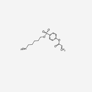 C=CC(=O)Oc1ccc(S(=O)(=O)OCCCCCCCCCCCCCCC)cc1